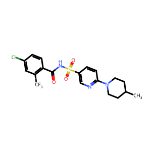 CC1CCN(c2ccc(S(=O)(=O)NC(=O)c3ccc(Cl)cc3C(F)(F)F)cn2)CC1